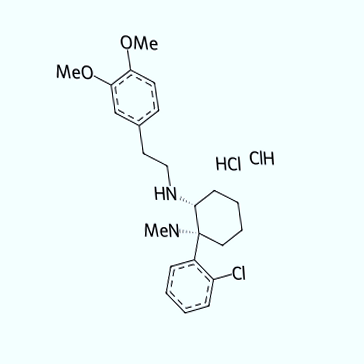 CN[C@@]1(c2ccccc2Cl)CCCC[C@H]1NCCc1ccc(OC)c(OC)c1.Cl.Cl